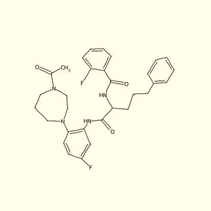 CC(=O)N1CCCN(c2ccc(F)cc2NC(=O)C(CCCc2ccccc2)NC(=O)c2ccccc2F)CC1